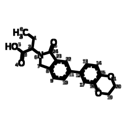 CCC(C(=O)O)N1Cc2ccc(-c3ccc4c(c3)OCCO4)cc2C1=O